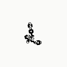 O=C(c1cccs1)N(CCCN1CCOCC1)c1nc(-c2ccc(N3CCOCC3)cc2)cs1